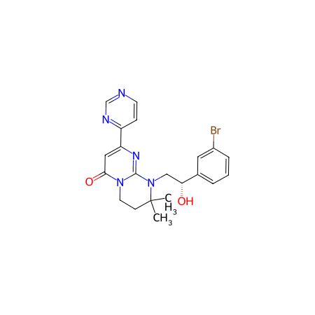 CC1(C)CCn2c(nc(-c3ccncn3)cc2=O)N1C[C@@H](O)c1cccc(Br)c1